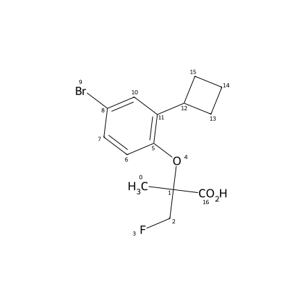 CC(CF)(Oc1ccc(Br)cc1C1CCC1)C(=O)O